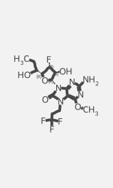 CCC(O)[C@H]1O[C@@H](n2c(=O)n(CCC(F)(F)F)c3c(OC)nc(N)nc32)[C@H](O)[C@H]1F